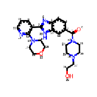 O=C(c1ccc2nc(-c3cccnc3N3CCOCC3)[nH]c2c1)N1CCN(CCO)CC1